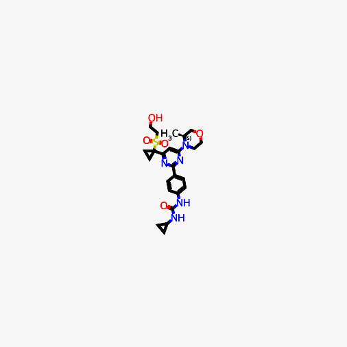 C[C@H]1COCCN1c1cc(C2(S(=O)(=O)CCO)CC2)nc(-c2ccc(NC(=O)NC3CC3)cc2)n1